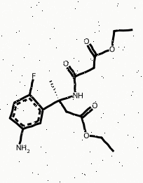 CCOC(=O)CC(=O)N[C@@](C)(CC(=O)OCC)c1cc(N)ccc1F